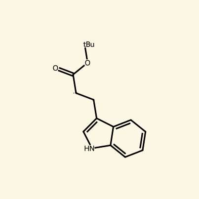 CC(C)(C)OC(=O)[CH]Cc1c[nH]c2ccccc12